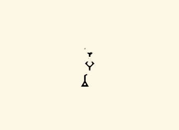 CC(C)(C)OC(=O)N1CC(OCC2CC2)C1